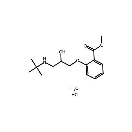 COC(=O)c1ccccc1OCC(O)CNC(C)(C)C.Cl.O